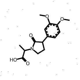 COc1ccc(C2CCN(C(C)C(=O)O)C2=O)cc1OC